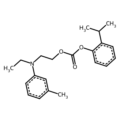 CCN(CCOC(=O)Oc1ccccc1C(C)C)c1cccc(C)c1